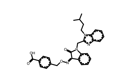 CC(C)CCn1c(CN2C(=O)C(=NOCc3ccc(C(=O)O)cc3)c3ccccc32)nc2ccccc21